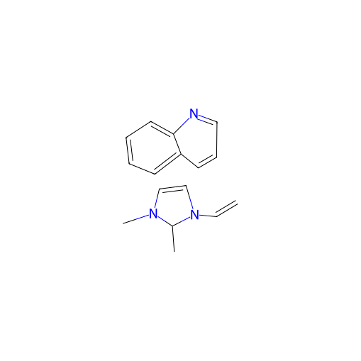 C=CN1C=CN(C)C1C.c1ccc2ncccc2c1